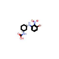 O=C(O)N[C@H]1CCC[C@H](Nc2cccc(Br)c2[N+](=O)[O-])C1